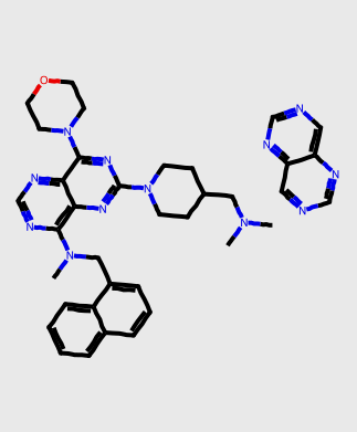 CN(C)CC1CCN(c2nc(N3CCOCC3)c3ncnc(N(C)Cc4cccc5ccccc45)c3n2)CC1.c1ncc2ncncc2n1